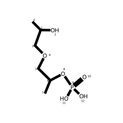 CC(O)COCC(C)OP(=O)(O)O